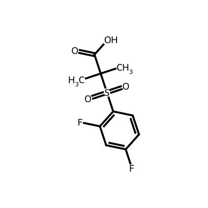 CC(C)(C(=O)O)S(=O)(=O)c1ccc(F)cc1F